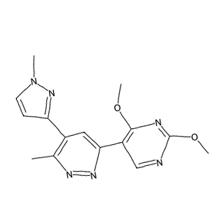 COc1ncc(-c2cc(-c3ccn(C)n3)c(C)nn2)c(OC)n1